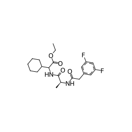 CCOC(=O)C(NC(=O)[C@H](C)NC(=O)Cc1cc(F)cc(F)c1)C1CCCCC1